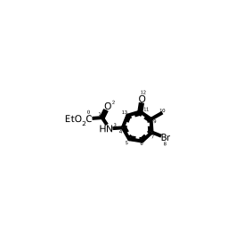 CCOC(=O)C(=O)Nc1ccc(Br)c(C)c(=O)c1